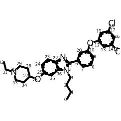 CCCCn1c(-c2cccc(Oc3cc(Cl)cc(Cl)c3)c2)nc2ccc(OC3CCN(CC)CC3)cc21